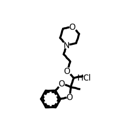 CC(OCCN1CCOCC1)C1(C)Oc2ccccc2O1.Cl